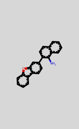 Nc1c(-c2ccc3c(c2)oc2ccccc23)ccc2ccccc12